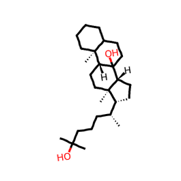 C[C@H](CCCC(C)(C)O)[C@H]1CC[C@H]2C3(O)CCC4CCCC[C@]4(C)[C@H]3CC[C@]12C